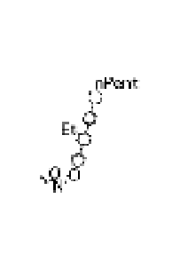 C=CC(=O)N(C)CCOc1ccc(-c2ccc(-c3ccc(C4CCC(CCCCC)CC4)cc3)c(CC)c2)cc1